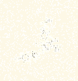 CCNc1nc(SCc2csc(-c3ccc(Cl)cc3)n2)c(C#N)c(-c2ccc(OCCO)cc2)c1C#N